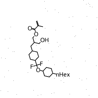 C=C(C)C(=O)OCC(CO)CC1CCC(C(F)(F)OC2CCC(CCCCCC)CC2)CC1